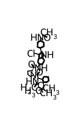 C=C(N[C@H](C(=O)N1CCC[C@H]1C(=O)Nc1ccc2[nH]c(-c3ccc(NC(C)=O)cc3)c(Cl)c2c1)c1ccccc1)OC(C)(C)C